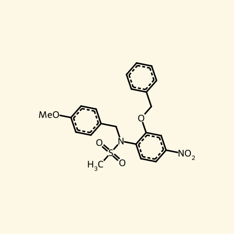 COc1ccc(CN(c2ccc([N+](=O)[O-])cc2OCc2ccccc2)S(C)(=O)=O)cc1